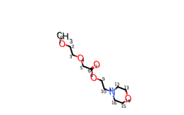 COCCOCC(=O)OCCN1CCOCC1